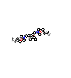 CC(C)(C)c1cccc2c1oc1c(N(c3ccccc3)c3ccc4cc5c(cc4c3)C3(c4cc6cc(N(c7ccccc7)c7cccc8c7oc7c(C(C)(C)C)cccc78)ccc6cc4-5)c4ccccc4-c4c3ccc3ccccc43)cccc12